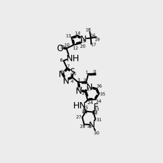 C=Cc1c(-c2nnc(CNC(=O)c3ccn(C(C)(C)C)c3)s2)nc2c(N[C@@H]3CCN(C)C[C@@H]3F)cccn12